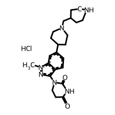 Cl.Cn1nc(N2CCC(=O)NC2=O)c2ccc(C3CCN(CC4CCNCC4)CC3)cc21